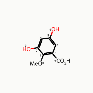 COc1c(O)cc(O)cc1C(=O)O